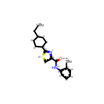 CCC(C)CC1CCC(c2nc(C(=O)Nc3ccccc3C(C)(C)C)cs2)CC1